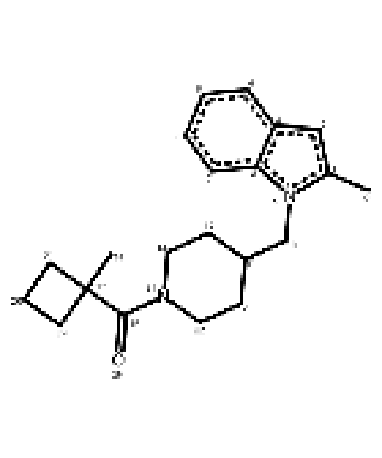 Cc1cc2ccccc2n1CC1CCN(C(=O)C2(C)CCC2)CC1